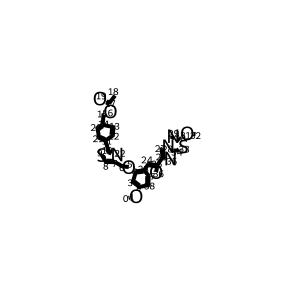 COc1cc(OCc2csc(-c3ccc(COC(C)=O)cc3)n2)c2cc(-c3cn4nc(OC)sc4n3)oc2c1